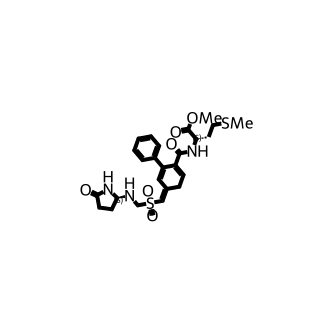 COC(=O)[C@H](CCSC)NC(=O)C1=CCC(=CS(=O)(=O)CN[C@H]2CCC(=O)N2)C=C1c1ccccc1